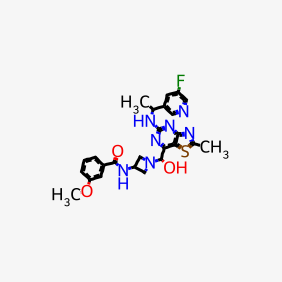 COc1cccc(C(=O)NC2CN(C(O)c3nc(NC(C)c4cncc(F)c4)nc4nc(C)sc34)C2)c1